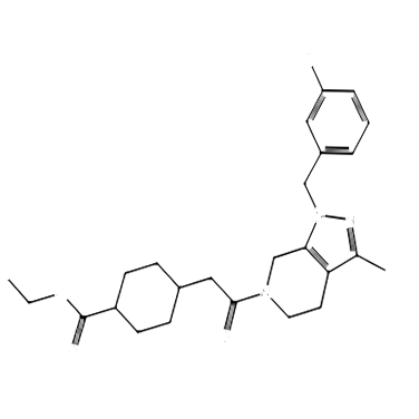 CCOC(=O)C1CCC(CC(=O)N2CCc3c(C)nn(Cc4cccc(F)c4)c3C2)CC1